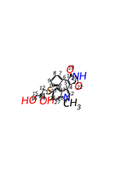 Cn1cc(C2=C(c3cccc(SC[C@H](O)CO)c3)C(=O)NC2=O)c2ccccc21